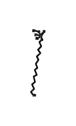 CC(C)CCCCCCCCCCCCCCC[O][Ti](=[O])([O]C(C)C)([CH](C)C)[CH](C)C